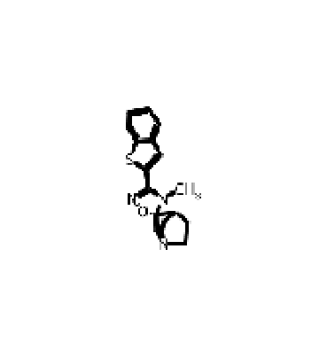 CN1C(c2cc3ccccc3s2)=NO[C@]12CN1CCC2CC1